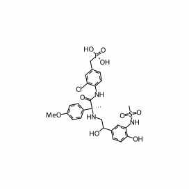 COc1ccc([C@](C)(NCC(O)c2ccc(O)c(NS(C)(=O)=O)c2)C(=O)Nc2ccc(CP(=O)(O)O)cc2Cl)cc1